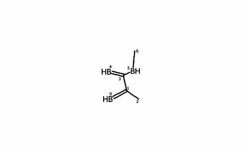 B=C(C)C(=B)BC